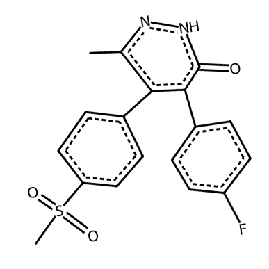 Cc1n[nH]c(=O)c(-c2ccc(F)cc2)c1-c1ccc(S(C)(=O)=O)cc1